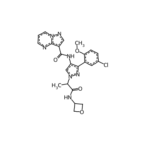 COc1ccc(Cl)cc1-c1nn(C(C)C(=O)NC2COC2)cc1NC(=O)c1cnn2cccnc12